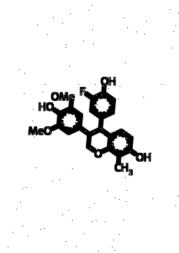 COc1cc(C2COc3c(ccc(O)c3C)C2c2ccc(O)c(F)c2)cc(OC)c1O